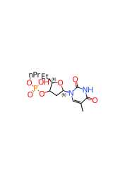 CCCOP(=O)(O)OC1C[C@H](n2cc(C)c(=O)[nH]c2=O)O[C@@H]1CC